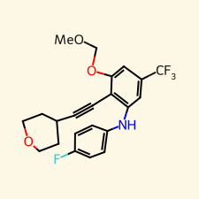 COCOc1cc(C(F)(F)F)cc(Nc2ccc(F)cc2)c1C#CC1CCOCC1